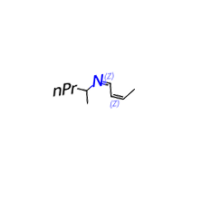 C/C=C\C=N/C(C)CCC